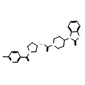 Cc1ccc(C(=O)N2CC[C@@H](NC(=O)N3CCC(n4c(=O)[nH]c5ccccc54)CC3)C2)cn1